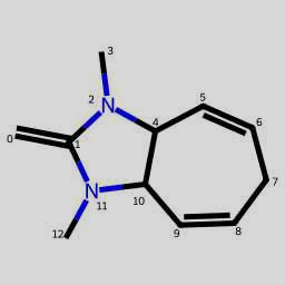 C=C1N(C)C2C=CCC=CC2N1C